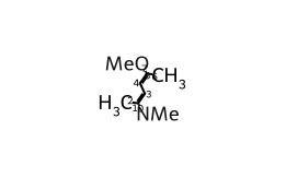 CNC(C)=C/C=C(\C)OC